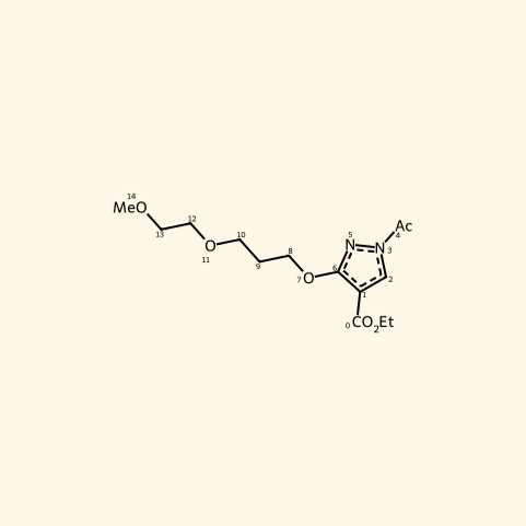 CCOC(=O)c1cn(C(C)=O)nc1OCCCOCCOC